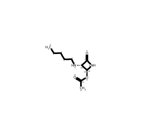 CCCCCN[C@@H]1C(=O)N[C@H]1OC(C)=O